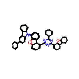 C1=CC2Oc3c(cccc3-n3c4ccccc4c4cc(C5=CCCC=C5)ccc43)C2C(c2nc(C3=CCCc4c3oc3c4CCC=C3)nc(C3C=CCCC3)n2)=C1